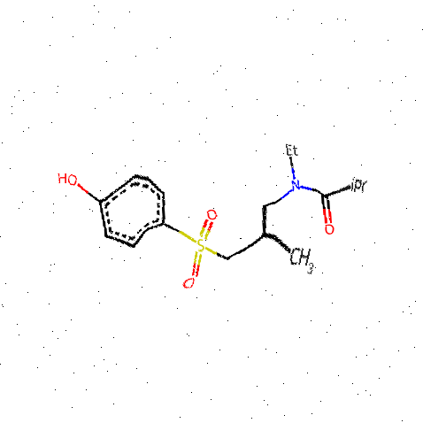 CCN(CC(C)CS(=O)(=O)c1ccc(O)cc1)C(=O)C(C)C